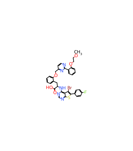 COCCOc1ccccc1-c1nccc(COc2ccccc2CC(Nc2ncnc3sc(-c4ccc(F)cc4)c(Br)c23)C(=O)O)n1